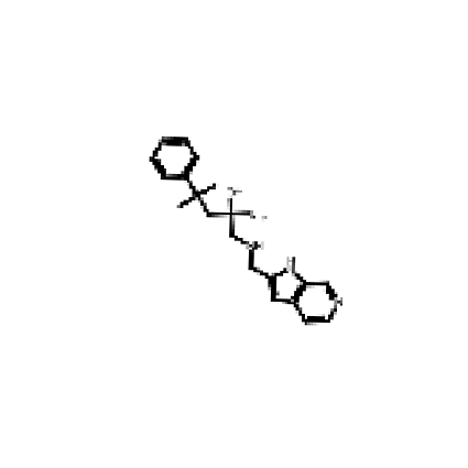 CC(C)(CC(O)(CNCc1cc2ccncc2[nH]1)C(F)(F)F)c1ccccc1